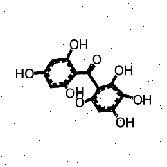 O=C(c1c(O)cc(O)cc1O)c1c(O)cc(O)c(O)c1O